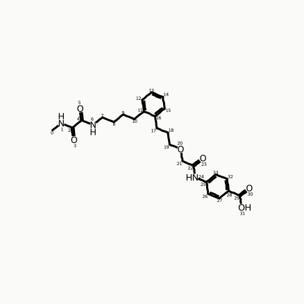 CNC(=O)C(=O)NCCCCc1ccccc1CCCOCC(=O)Nc1ccc(C(=O)O)cc1